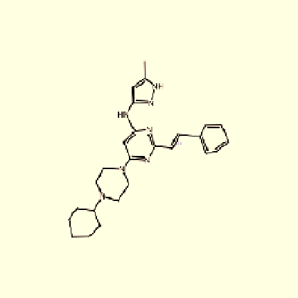 Cc1cc(Nc2cc(N3CCN(C4CCCCC4)CC3)nc(/C=C/c3ccccc3)n2)n[nH]1